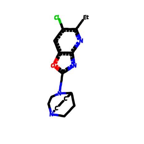 CCc1nc2nc(N3CCN4CCC3CC4)oc2cc1Cl